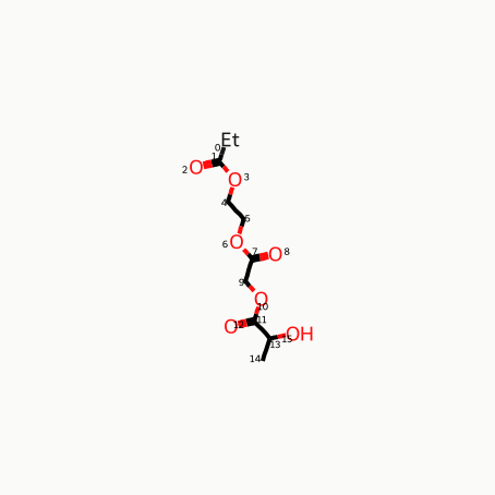 CCC(=O)OCCOC(=O)COC(=O)C(C)O